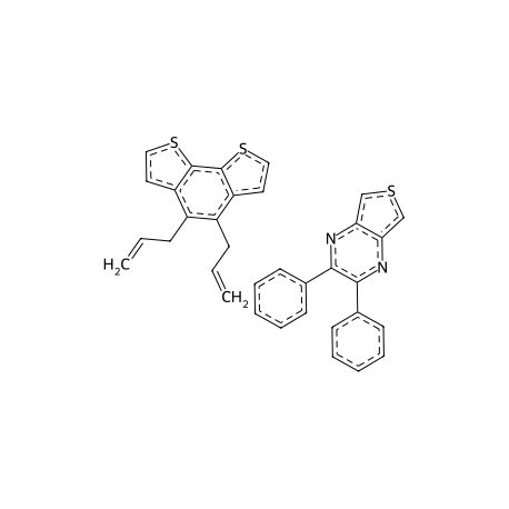 C=CCc1c(CC=C)c2ccsc2c2sccc12.c1ccc(-c2nc3cscc3nc2-c2ccccc2)cc1